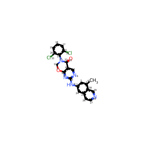 Cc1cc(Nc2ncc3c(n2)OCN(c2c(Cl)cccc2Cl)C3=O)cc2ccncc12